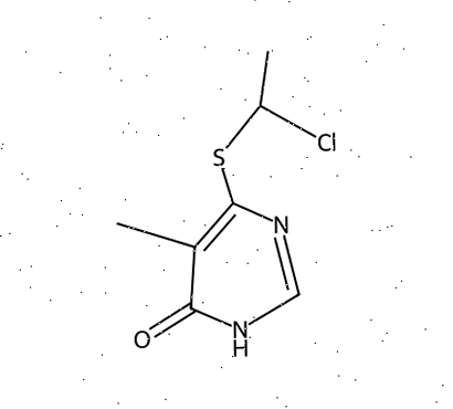 Cc1c(SC(C)Cl)nc[nH]c1=O